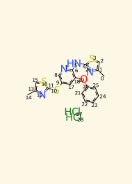 Cc1csc(Nc2ncc(Sc3nc(C)cs3)cc2Oc2ccccc2)n1.Cl.Cl